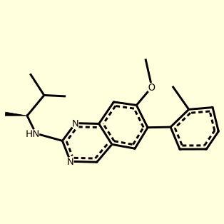 COc1cc2nc(N[C@@H](C)C(C)C)ncc2cc1-c1ccccc1C